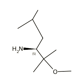 COC(C)(C)[C@@H](N)CC(C)C